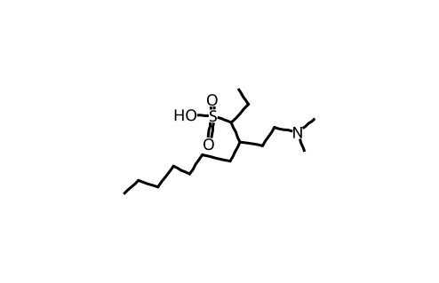 CCCCCCCC(CCN(C)C)C(CC)S(=O)(=O)O